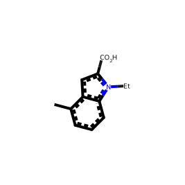 CCn1c(C(=O)O)cc2c(C)cccc21